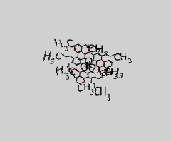 CCCCc1c(CCCC)c(OB(Oc2c(CCCC)c(CCCC)c(CCCC)c3ccc4cc5ccccc5cc4c23)Oc2c(CCCC)c(CCCC)c(CCCC)c3ccc4cc5ccccc5cc4c23)c2c(ccc3cc4ccccc4cc32)c1CCCC